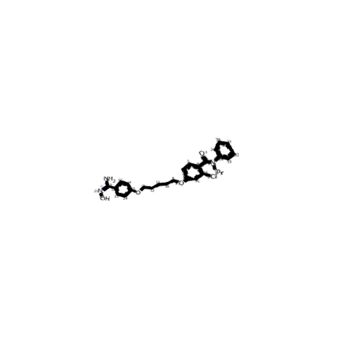 CC(C)N(C(=O)c1ccc(OCCCCCOc2ccc(/C(N)=N\O)cc2)cc1Cl)c1ccccc1